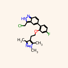 Cc1nn(C)c(C)c1CCOc1cc(F)ccc1-c1ccc2n[nH]c(CCl)c2c1